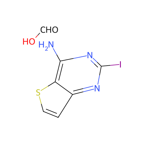 Nc1nc(I)nc2ccsc12.O=CO